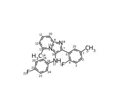 Cc1ccc(F)c(-c2nc3cccc(C)n3c2Nc2ccc(F)cc2)c1